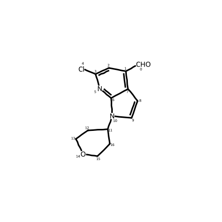 O=Cc1cc(Cl)nc2c1ccn2C1CCOCC1